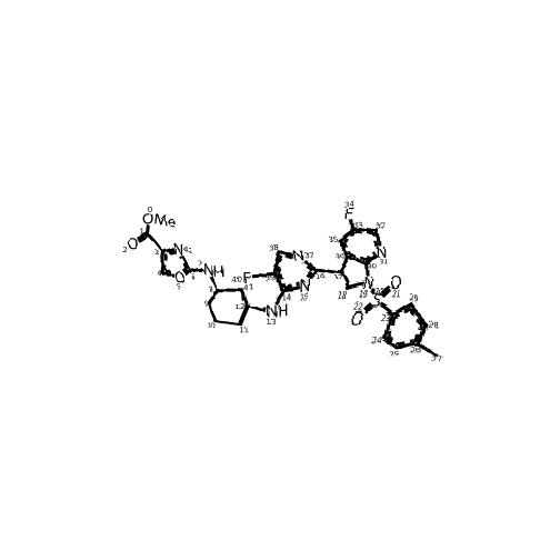 COC(=O)c1coc(N[C@@H]2CCC[C@H](Nc3nc(C4CN(S(=O)(=O)c5ccc(C)cc5)c5ncc(F)cc54)ncc3F)C2)n1